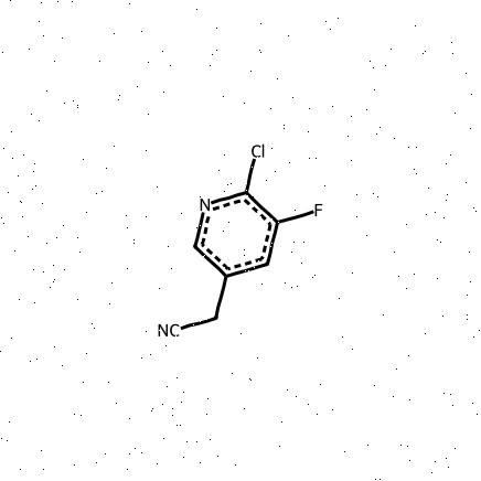 N#CCc1cnc(Cl)c(F)c1